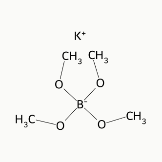 CO[B-](OC)(OC)OC.[K+]